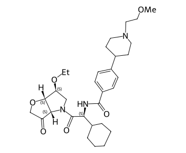 CCO[C@H]1CN(C(=O)[C@@H](NC(=O)c2ccc(C3CCN(CCOC)CC3)cc2)C2CCCCC2)[C@@H]2C(=O)CO[C@H]12